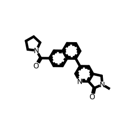 CN1Cc2cc(-c3cccc4cc(C(=O)N5CCCC5)ccc34)cnc2C1=O